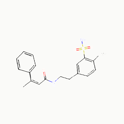 COc1ccc(CCNC(=O)C=C(C)c2ccccc2)cc1S(N)(=O)=O